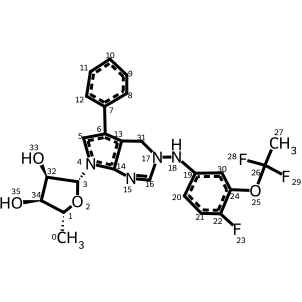 C[C@H]1O[C@@H](n2cc(-c3ccccc3)c3c2N=CN(Nc2ccc(F)c(OC(C)(F)F)c2)C3)[C@H](O)[C@@H]1O